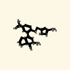 Cc1cc(COc2ccc([N+](=O)[O-])cc2-c2cn(C)c(=O)c3[nH]ccc23)[nH]n1